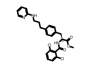 COC(=O)[C@H](Cc1ccc(CCCNc2ccccn2)cc1)NC(=O)c1c(Cl)cccc1Cl